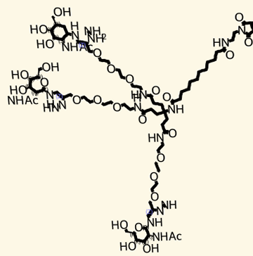 CC(=O)N[C@@H]1[C@@H](O)[C@@H](O)[C@@H](CO)O[C@H]1N/C=C(/COCCOCCOCCNC(=O)CCC(CCC(=O)NCCOCCOCCOC/C(=C/N[C@@H]1O[C@H](CO)[C@H](O)[C@H](O)[C@H]1NC(C)=O)N=N)(CCC(=O)NCCOCCOCCOC/C(=C/NC1C[C@H](CO)[C@H](O)[C@H](O)[C@H]1NC(C)=O)NN)NC(=O)CCCCCCCCCCC(=O)NCCN1C(=O)C=CC1=O)N=N